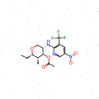 CC[C@H]1OC[C@H](Nc2ncc([N+](=O)[O-])cc2C(F)(F)F)[C@@H](OC(C)=O)[C@H]1C